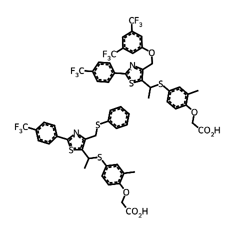 Cc1cc(SC(C)c2sc(-c3ccc(C(F)(F)F)cc3)nc2COc2cc(C(F)(F)F)cc(C(F)(F)F)c2)ccc1OCC(=O)O.Cc1cc(SC(C)c2sc(-c3ccc(C(F)(F)F)cc3)nc2CSc2ccccc2)ccc1OCC(=O)O